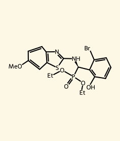 CCOP(=O)(OCC)[C@@H](Nc1nc2ccc(OC)cc2s1)c1c(O)cccc1Br